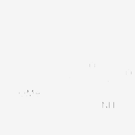 COc1ccccc1C1CCNC(=O)O1